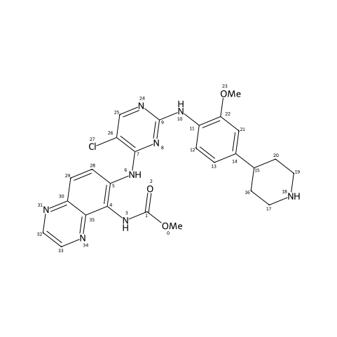 COC(=O)Nc1c(Nc2nc(Nc3ccc(C4CCNCC4)cc3OC)ncc2Cl)ccc2nccnc12